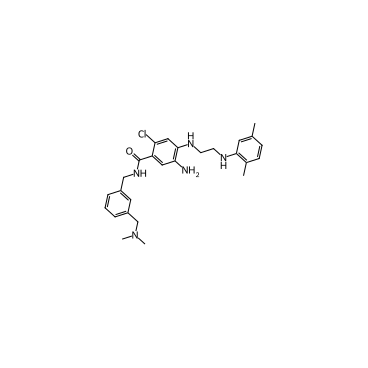 Cc1ccc(C)c(NCCNc2cc(Cl)c(C(=O)NCc3cccc(CN(C)C)c3)cc2N)c1